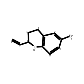 C=CC1CCc2cc(Br)ccc2O1